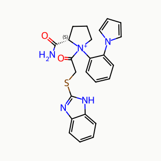 NC(=O)[C@@H]1CCC[N+]1(C(=O)CSc1nc2ccccc2[nH]1)c1ccccc1-n1cccc1